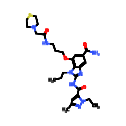 CCCn1c(NC(=O)c2cc(C)nn2CC)nc2cc(C(N)=O)cc(OCCCNC(=O)CN3CCSCC3)c21